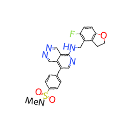 CNS(=O)(=O)c1ccc(-c2cnc(NCc3c(F)ccc4c3CCO4)c3cnncc23)cc1